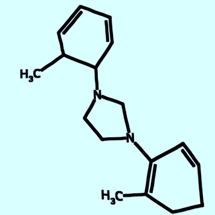 CC1=C(N2CCN(C3C=CC=CC3C)C2)C=CCC1